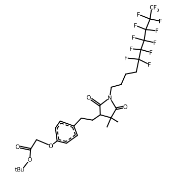 CC(C)(C)OC(=O)COc1ccc(CCC2C(=O)N(CCCCC(F)(F)C(F)(F)C(F)(F)C(F)(F)C(F)(F)C(F)(F)F)C(=O)C2(C)C)cc1